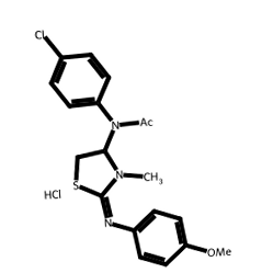 COc1ccc(N=C2SCC(N(C(C)=O)c3ccc(Cl)cc3)N2C)cc1.Cl